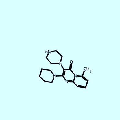 Cc1cccc2nc(N3CCCCC3)c(N3CCNCC3)c(=O)n12